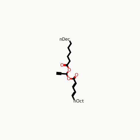 C#CC(OC(=O)C=CC=CCCCCCCCC)OC(=O)CCCCCCCCCCCCCCC